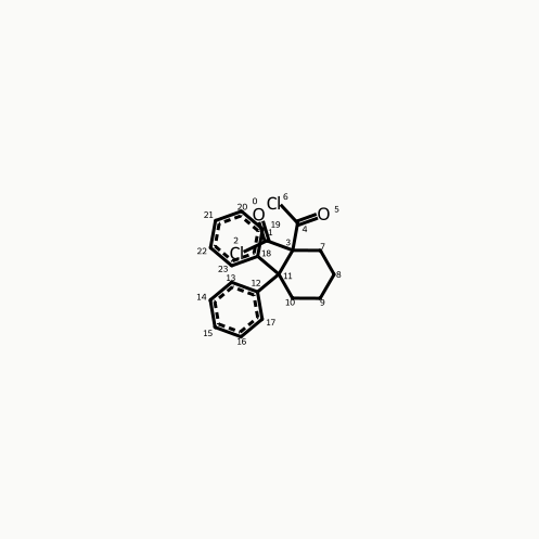 O=C(Cl)C1(C(=O)Cl)CCCCC1(c1ccccc1)c1ccccc1